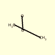 CCCCCCCCCCCCCCCCCCCCCCCC(=O)C(CCCCCCCCCCC)CCCCCCCCCCCCCC=O